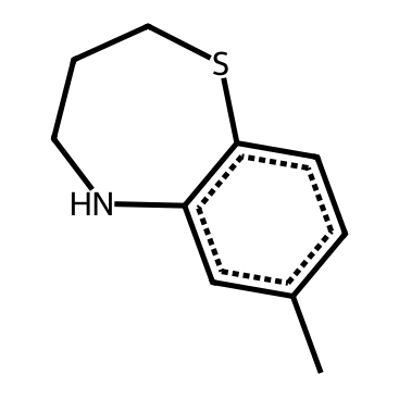 Cc1ccc2c(c1)NCCCS2